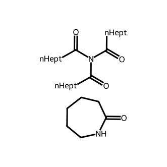 CCCCCCCC(=O)N(C(=O)CCCCCCC)C(=O)CCCCCCC.O=C1CCCCCN1